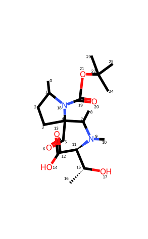 CC1CCC(C=O)(C(C)N(C)[C@H](C(=O)O)[C@@H](C)O)N1C(=O)OC(C)(C)C